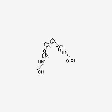 Cc1nc(OCc2cccc(-c3cccc(COc4ccc(CNCCCC(=O)O)c(C)n4)c3C)c2C)ccc1CNCCCC(=O)O